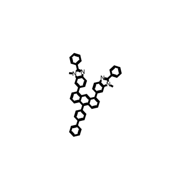 Cn1c(-c2ccccc2)nc2ccc(-c3cccc4c(-c5ccc(-c6ccccc6)cc5)c5cccc(-c6ccc7nc(-c8ccccc8)n(C)c7c6)c5cc34)cc21